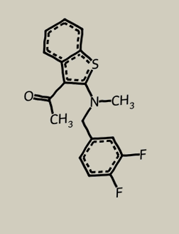 CC(=O)c1c(N(C)Cc2ccc(F)c(F)c2)sc2ccccc12